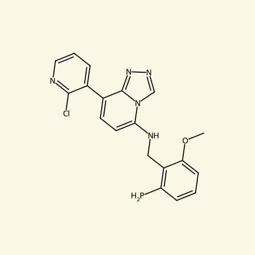 COc1cccc(P)c1CNc1ccc(-c2cccnc2Cl)c2nncn12